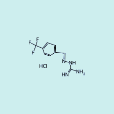 Cl.N=C(N)NN=Cc1ccc(C(F)(F)F)cc1